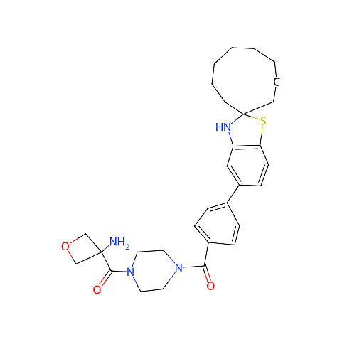 NC1(C(=O)N2CCN(C(=O)c3ccc(-c4ccc5c(c4)NC4(CCCCCCCC4)S5)cc3)CC2)COC1